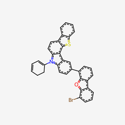 Brc1cccc2c1oc1c(-c3ccc4c(c3)c3c5sc6ccccc6c5ccc3n4C3=CC=CCC3)cccc12